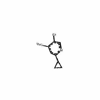 CCc1cnc(C2CC2)cc1OC